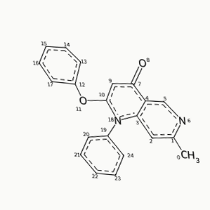 Cc1cc2c(cn1)c(=O)cc(Oc1ccccc1)n2-c1ccccc1